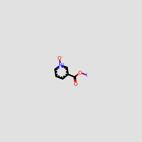 O=C(OI)c1ccc[n+]([O-])c1